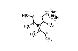 CCC(C)B(C(C)CC)C(C)CC.[BH4-].[LiH].[Na+]